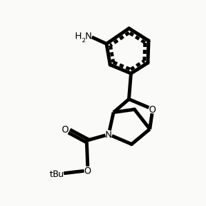 CC(C)(C)OC(=O)N1CC2CC1C(c1cccc(N)c1)O2